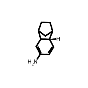 NC1=CC2C3CCC(C3)[C@@H]2C=C1